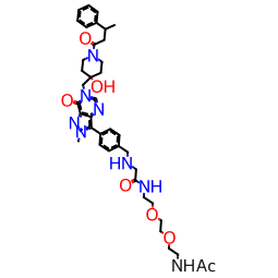 CC(=O)NCCOCCOCCNC(=O)CNCc1ccc(-c2c3ncn(CC4(O)CCN(C(=O)CC(C)c5ccccc5)CC4)c(=O)c3nn2C)cc1